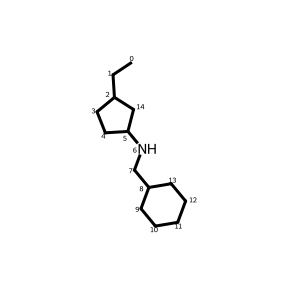 CCC1CCC(NCC2CCCCC2)C1